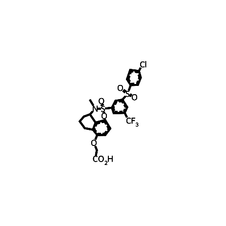 CN(C1CCCc2c(OCC(=O)O)cccc21)S(=O)(=O)c1cc(C(F)(F)F)cc(S(=O)(=O)c2ccc(Cl)cc2)c1